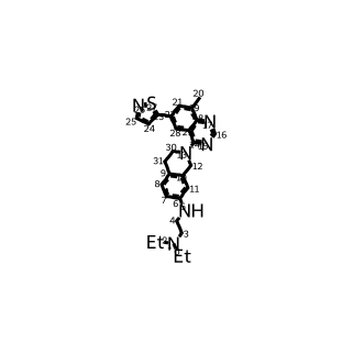 CCN(CC)CCNc1ccc2c(c1)CN(c1ncnc3c(C)cc(-c4ccns4)cc13)CC2